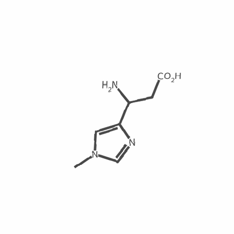 Cn1cnc(C(N)CC(=O)O)c1